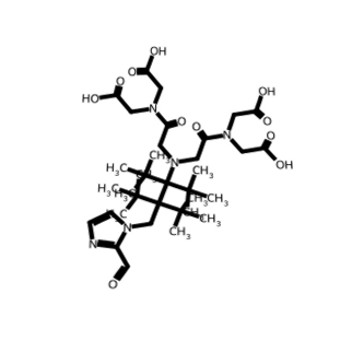 CC(C)(C)C(Cn1ccnc1C=O)(C(C)(C)C)C(N(CC(=O)N(CC(=O)O)CC(=O)O)CC(=O)N(CC(=O)O)CC(=O)O)(C(C)(C)C)C(C)(C)C